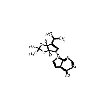 CC(O)C1=C[C@@H](n2ccc3c(Cl)ncnc32)[C@@H]2OC(C)(C)O[C@H]12